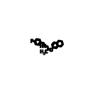 CC(CNCc1ccc(F)cc1)Oc1ccc2c(c1)CCCC2